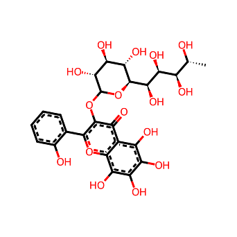 C[C@@H](O)[C@@H](O)[C@H](O)[C@@H](O)[C@H]1OC(Oc2c(-c3ccccc3O)oc3c(O)c(O)c(O)c(O)c3c2=O)[C@H](O)[C@@H](O)[C@@H]1O